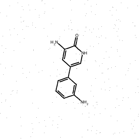 Nc1cccc(-c2c[nH]c(=O)c(N)c2)c1